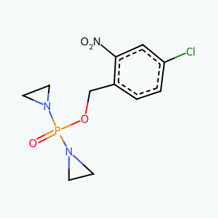 O=[N+]([O-])c1cc(Cl)ccc1COP(=O)(N1CC1)N1CC1